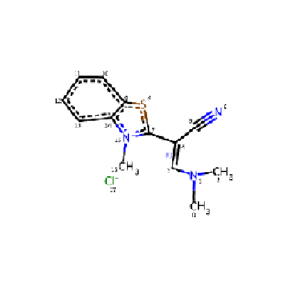 CN(C)/C=C(\C#N)c1sc2ccccc2[n+]1C.[Cl-]